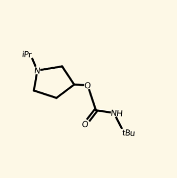 CC(C)N1CCC(OC(=O)NC(C)(C)C)C1